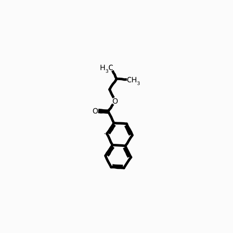 CC(C)COC(=O)c1[c]c2ccccc2cc1